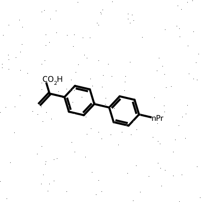 C=C(C(=O)O)c1ccc(-c2ccc(CCC)cc2)cc1